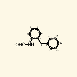 O=[C]Nc1ccccc1Cc1ccccc1